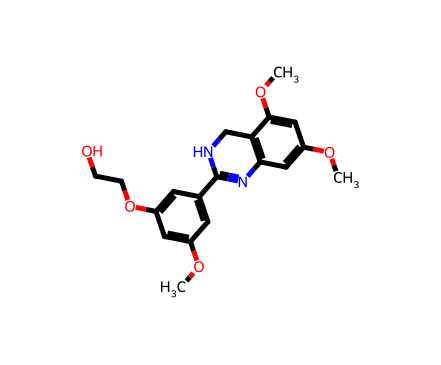 COc1cc(OCCO)cc(C2=Nc3cc(OC)cc(OC)c3CN2)c1